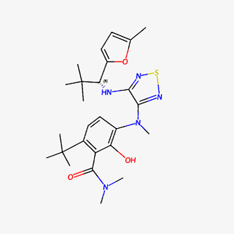 Cc1ccc([C@H](Nc2nsnc2N(C)c2ccc(C(C)(C)C)c(C(=O)N(C)C)c2O)C(C)(C)C)o1